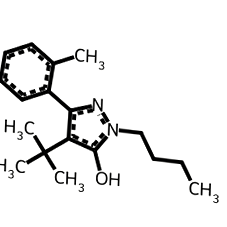 CCCCn1nc(-c2ccccc2C)c(C(C)(C)C)c1O